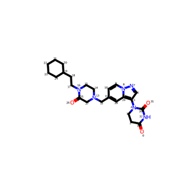 O=C1CCN(c2cnn3ccc(CN4CCN(CCC5CCCCC5)C(=O)C4)cc23)C(=O)N1